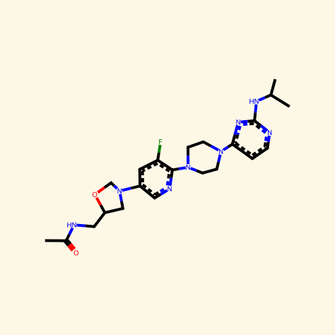 CC(=O)NCC1CN(c2cnc(N3CCN(c4ccnc(NC(C)C)n4)CC3)c(F)c2)CO1